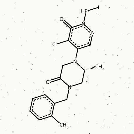 Cc1ccccc1CN1C[C@@H](C)N(c2cnn(PI)c(=O)c2Cl)CC1=O